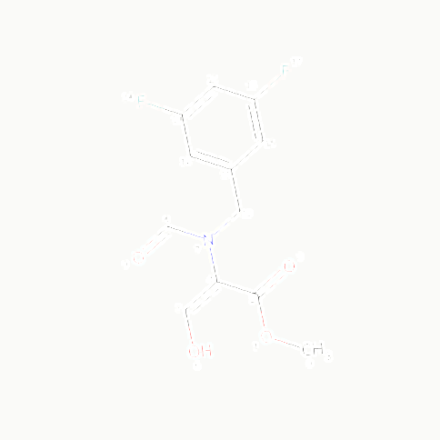 COC(=O)C(=CO)N(C=O)Cc1cc(F)cc(F)c1